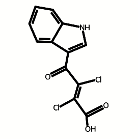 O=C(O)/C(Cl)=C(\Cl)C(=O)c1c[nH]c2ccccc12